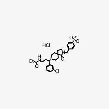 CCC(=O)NCCC(c1cccc(Cl)c1)N1CCC2(CCN(Cc3ccc(S(C)(=O)=O)cc3)C2=O)CC1.Cl